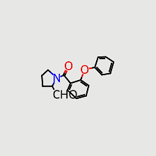 O=CC1CCCN1C(=O)c1ccccc1Oc1ccccc1